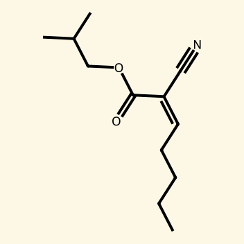 CCCCC=C(C#N)C(=O)OCC(C)C